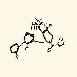 CN(C)S(=O)(=O)N[C@@H]1[C@H](Cc2cccc(-c3cccc(F)c3)c2F)N(C(=O)[C@H]2CCO2)CC1(F)F